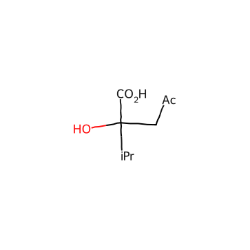 CC(=O)CC(O)(C(=O)O)C(C)C